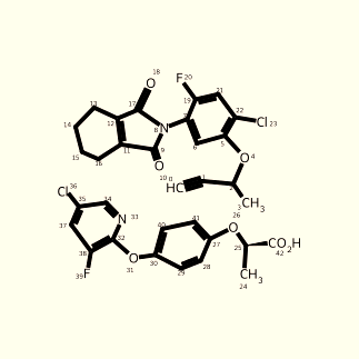 C#CC(C)Oc1cc(N2C(=O)C3=C(CCCC3)C2=O)c(F)cc1Cl.C[C@@H](Oc1ccc(Oc2ncc(Cl)cc2F)cc1)C(=O)O